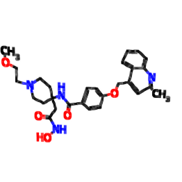 COCCN1CCC(CC(=O)NO)(NC(=O)c2ccc(OCc3cc(C)nc4ccccc34)cc2)CC1